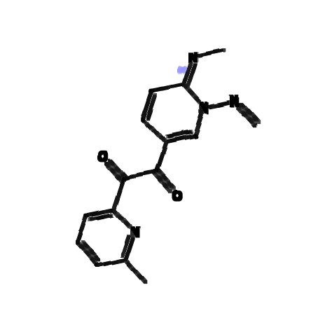 C=Nn1cc(C(=O)C(=O)c2cccc(C)n2)cc/c1=N/C